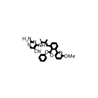 COc1cccc(-c2cccc(/C=C(\C)[C@H](C)Nc3nc(N)ncc3C#N)c2C(=O)Oc2ccccc2)n1